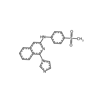 CS(=O)(=O)c1ccc(Nc2cc3ccccc3c(-n3ccnc3)n2)cc1